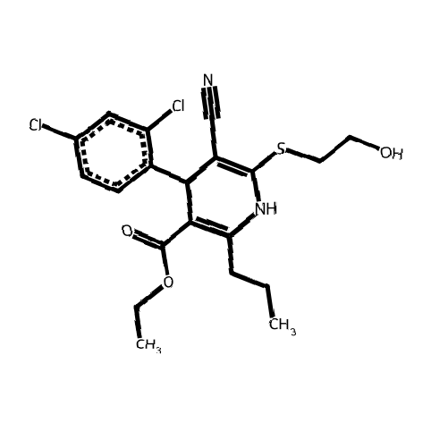 CCCC1=C(C(=O)OCC)C(c2ccc(Cl)cc2Cl)C(C#N)=C(SCCO)N1